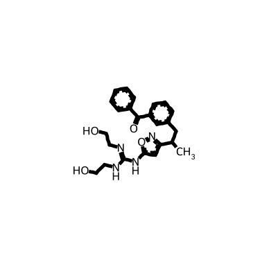 CC(Cc1cccc(C(=O)c2ccccc2)c1)c1cc(NC(=NCCO)NCCO)on1